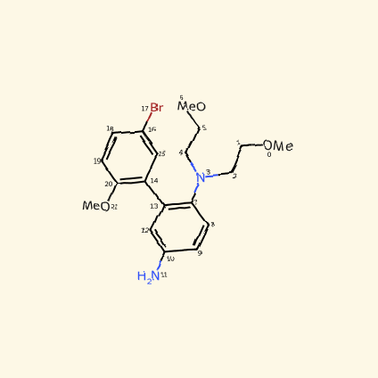 COCCN(CCOC)c1ccc(N)cc1-c1cc(Br)ccc1OC